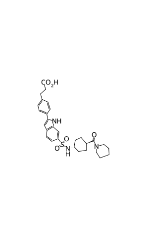 O=C(O)CCc1ccc(-c2cc3ccc(S(=O)(=O)N[C@H]4CC[C@H](C(=O)N5CCCCC5)CC4)cc3[nH]2)cc1